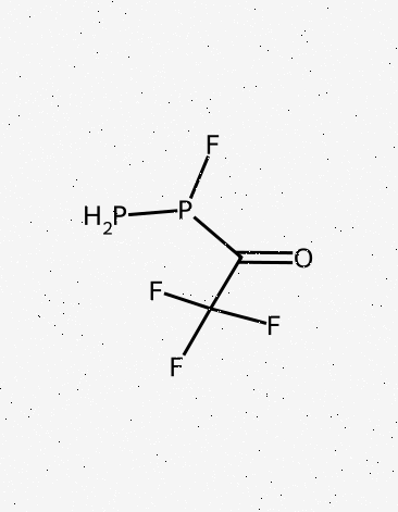 O=C(P(F)P)C(F)(F)F